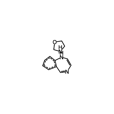 C1=CNc2ccccc2C=N1.C1COCN1